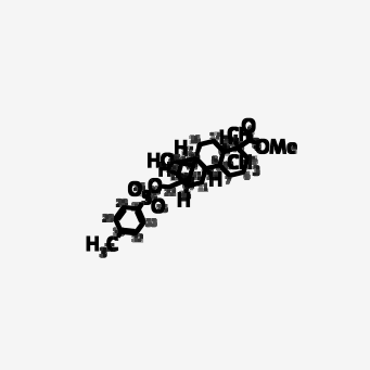 COC(=O)[C@]1(C)CCC[C@@]2(C)[C@@H]3C[C@@H]4CC[C@@]3(CC[C@@H]21)[C@H](O)[C@H]4COS(=O)(=O)c1ccc(C)cc1